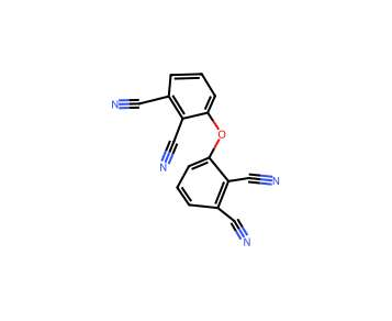 N#Cc1cccc(Oc2cccc(C#N)c2C#N)c1C#N